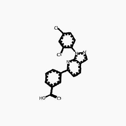 O=C(O)c1cccc(-c2ccc3cnn(-c4ccc(Cl)cc4Cl)c3n2)c1